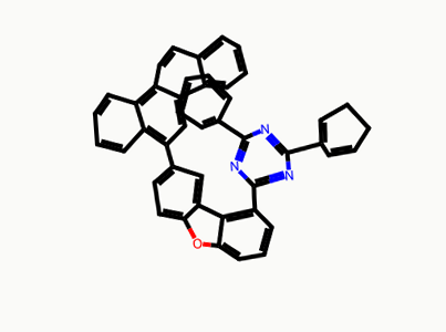 C1=CC(c2nc(-c3ccccc3)nc(-c3cccc4oc5ccc(-c6cc7c8ccccc8ccc7c7ccccc67)cc5c34)n2)=CCC1